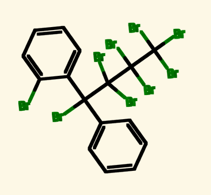 Brc1ccccc1C(Br)(c1ccccc1)C(Br)(Br)C(Br)(Br)C(Br)(Br)Br